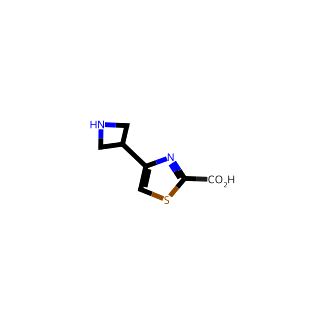 O=C(O)c1nc(C2CNC2)cs1